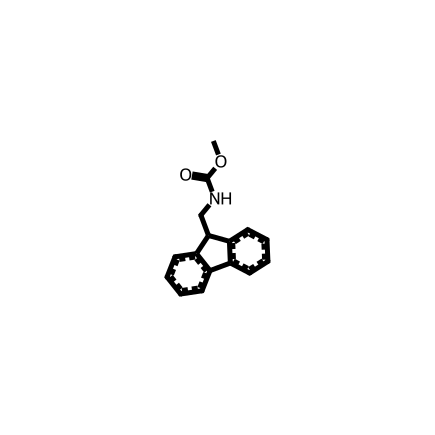 COC(=O)NCC1c2ccccc2-c2ccccc21